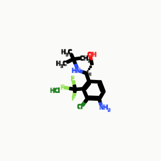 CC(C)(C)N[C@H](CO)c1ccc(N)c(Cl)c1C(F)(F)F.Cl